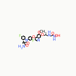 COc1cc2c(Oc3ccc(N(C(=O)C4(C(N)=O)CC4)c4ccc(F)cc4)cc3F)ccnc2cc1OCCCNCC(=O)NO